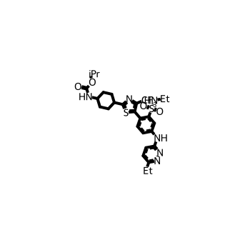 CCNS(=O)(=O)c1cc(Nc2ccc(CC)nn2)ccc1-c1sc(C2CCC(NC(=O)OC(C)C)CC2)nc1C(F)(F)F